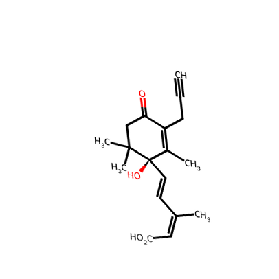 C#CCC1=C(C)[C@](O)(/C=C/C(C)=C\C(=O)O)C(C)(C)CC1=O